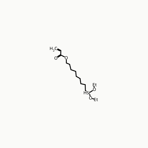 C=CC(=O)OCCCCCCCCC[SiH](OCC)OCC